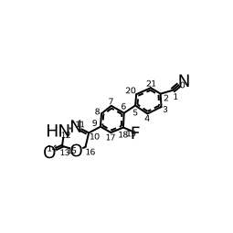 N#Cc1ccc(-c2ccc(C3=NNC(=O)OC3)cc2F)cc1